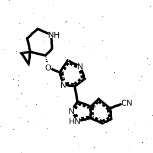 N#Cc1ccc2[nH]nc(-c3cncc(O[C@H]4CNCCC45CC5)n3)c2c1